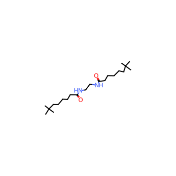 CC(C)(C)CCCCCC(=O)NCCNC(=O)CCCCCC(C)(C)C